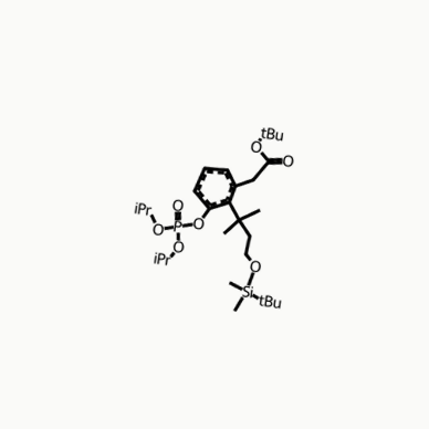 CC(C)OP(=O)(Oc1cccc(CC(=O)OC(C)(C)C)c1C(C)(C)CCO[Si](C)(C)C(C)(C)C)OC(C)C